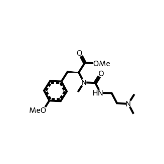 COC(=O)[C@H](Cc1ccc(OC)cc1)N(C)C(=O)NCCN(C)C